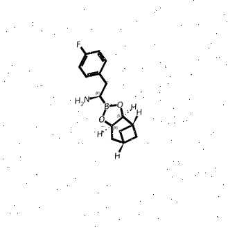 N[C@@H](Cc1ccc(F)cc1)B1O[C@@H]2C[C@H]3C[C@H](C3)[C@@H]2O1